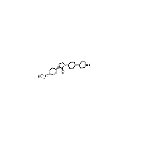 O=C(O)C1CCC(N2CCN(C3CCN(C4CCNCC4)CC3)C2=O)CC1